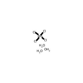 O.O.O.[Cl][Mo]([Cl])([Cl])[Cl]